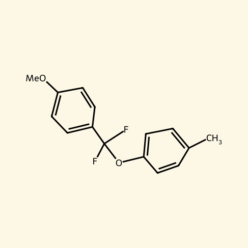 COc1ccc(C(F)(F)Oc2ccc(C)cc2)cc1